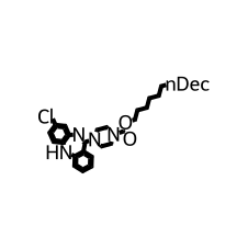 CCCCCCCCCCCCCCCCOC(=O)N1CCN(C2=Nc3cc(Cl)ccc3Nc3ccccc32)CC1